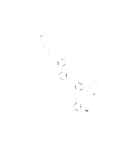 Cc1c(COc2cc(OCc3cncc(C#N)c3)c(CN3CCCC[C@H]3C(=O)O)cc2Cl)cccc1-c1cccc(OCCCNC[C@H](O)C(=O)O)c1C